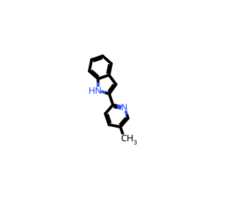 Cc1ccc(-c2cc3ccccc3[nH]2)nc1